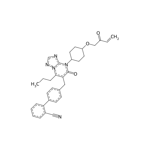 C=CC(=O)COC1CCC(n2c(=O)c(Cc3ccc(-c4ccccc4C#N)cc3)c(CCC)n3ncnc23)CC1